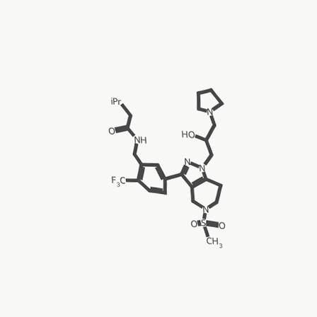 CC(C)CC(=O)NCc1cc(-c2nn(CC(O)CN3CCCC3)c3c2CN(S(C)(=O)=O)CC3)ccc1C(F)(F)F